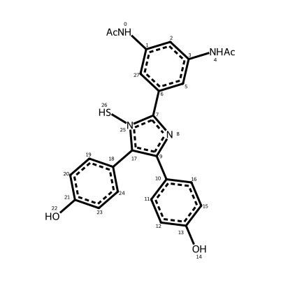 CC(=O)Nc1cc(NC(C)=O)cc(-c2nc(-c3ccc(O)cc3)c(-c3ccc(O)cc3)n2S)c1